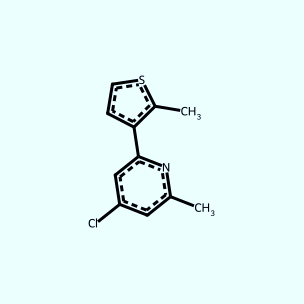 Cc1cc(Cl)cc(-c2ccsc2C)n1